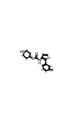 O=C(Nc1ccsc1-c1cccc(F)c1)OC1CCNCC1